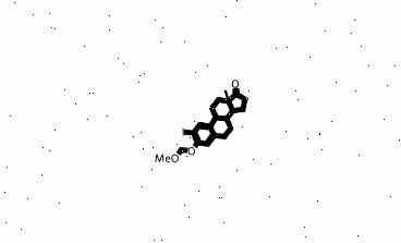 COCOc1cc2c(cc1I)C1CC[C@]3(C)C(=O)CCC3C1CC2